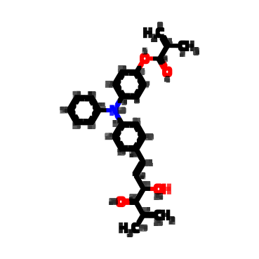 C=C(C)C(=O)Oc1ccc(N(c2ccccc2)c2ccc(C=CC(O)C(=O)C(=C)C)cc2)cc1